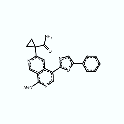 CNc1ncc(-c2ncc(-c3ccccc3)o2)c2cc(C3(C(N)=O)CC3)ncc12